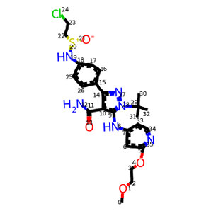 COCCOc1cc(Nc2c(C(N)=O)c(-c3ccc(N[S+]([O-])CCCl)cc3)nn2C(C)(C)C)ccn1